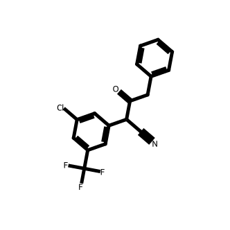 N#CC(C(=O)Cc1ccccc1)c1cc(Cl)cc(C(F)(F)F)c1